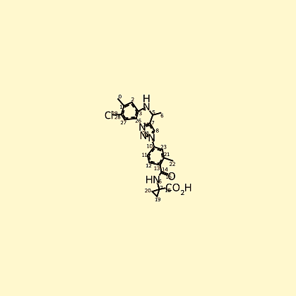 Cc1cc(NC(C)c2cn(-c3ccc(C(=O)NC4(C(=O)O)CC4)c(C)c3)nn2)ccc1Cl